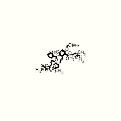 COCOc1cc(OC)cc(/C=C/C[C@@H]2CC(C)(C)O[C@@H]2C(/C=C\C[C@@H](C)OS(C)(=O)=O)OC(=O)c2ccccc2)c1C(=O)OCC[Si](C)(C)C